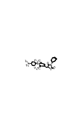 CCN(CC)c1ccc(-n2c(C)cc(C=C3SC(=O)N(c4ccccc4)C3=O)c2C)cc1